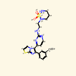 COc1cccc(-c2nc3sccn3c2-c2ccnc(NCCN3CCCNS3(=O)=O)n2)c1